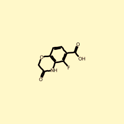 O=C1COc2ccc(C(=O)O)c(F)c2N1